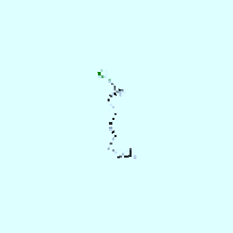 [Cl][Sn][CH2]CCCCC(Cl)(Cl)Cl